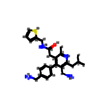 Cc1nc(CC(C)C)c(CN)c(-c2ccc(CN)cc2)c1CC(=O)NCc1cccs1